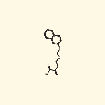 C=C(CCOCOc1ccc2ccccc2c1)C(=O)O